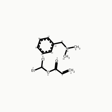 C=CC(=O)OC(Cl)CC.CN(C)Cc1ccccc1